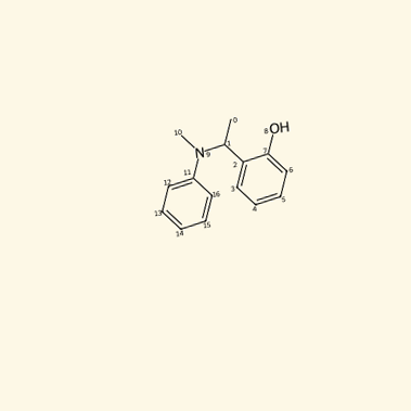 CC(c1ccccc1O)N(C)c1ccccc1